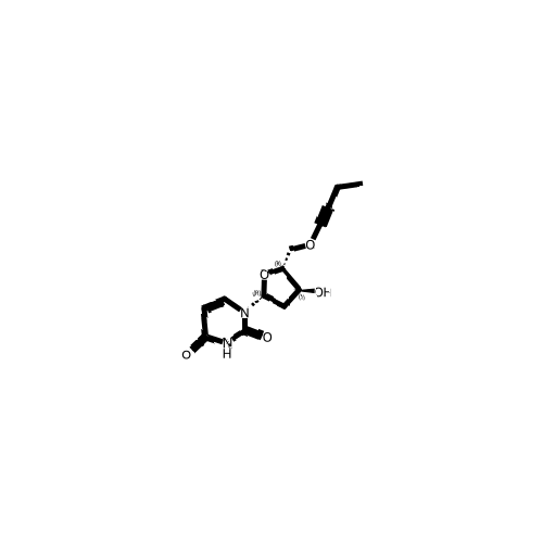 CCC#COC[C@H]1O[C@@H](n2ccc(=O)[nH]c2=O)C[C@@H]1O